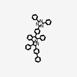 c1ccc(-c2ccc(-c3nn4c(-c5ccccc5)c(-c5ccc(-c6nc(-c7ccccc7)nc(-c7ccccc7)n6)cc5)c5ccccc5c4c3-c3ccccc3)cc2)cc1